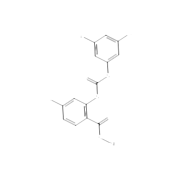 NNC(=O)c1ccc(Cl)cc1NC(=O)Nc1cc(Br)cc(Br)c1